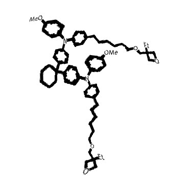 CCC1(COCCCCCCc2ccc(N(c3ccc(OC)cc3)c3ccc(C4(c5ccc(N(c6ccc(CCCCCCOCC7(CC)COC7)cc6)c6ccc(OC)cc6)cc5)CCCCC4)cc3)cc2)COC1